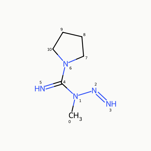 CN(N=N)C(=N)N1CCCC1